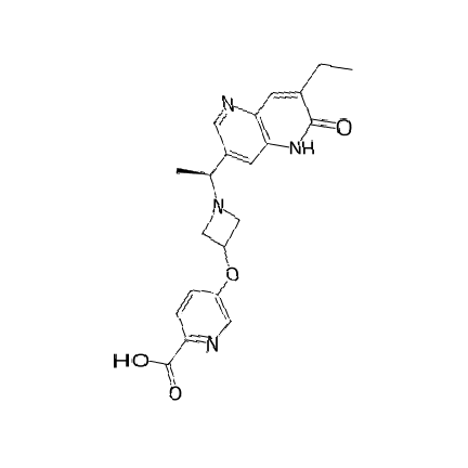 CCc1cc2ncc([C@H](C)N3CC(Oc4ccc(C(=O)O)nc4)C3)cc2[nH]c1=O